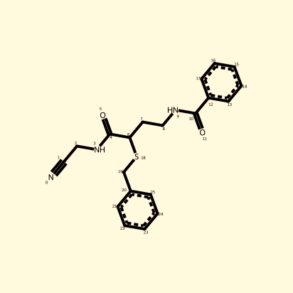 N#CCNC(=O)C(CCNC(=O)c1ccccc1)SCc1ccccc1